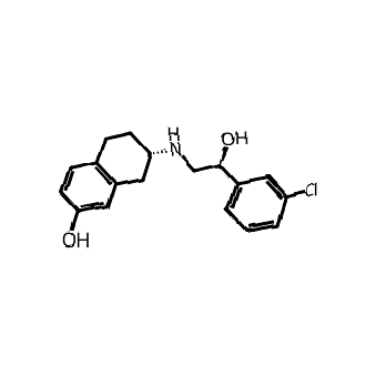 Oc1ccc2c(c1)C[C@@H](NC[C@@H](O)c1cccc(Cl)c1)CC2